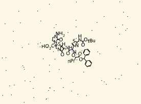 CCCC(O/N=C(\C(=O)N[C@@H]1C(=O)N2C[C@@](C(=O)O)(N3CCN(N)C3=O)S[C@H]12)c1csc(NC(=O)OC(C)(C)C)n1)C(=O)OC(c1ccccc1)c1ccccc1